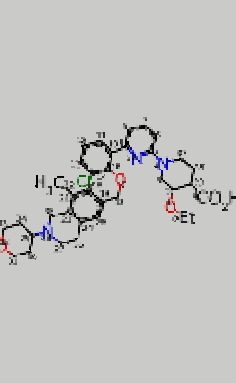 CCO[C@H]1CN(c2cccc(-c3cccc(Cl)c3OCc3cc(C)c4c(c3)CCN(C3CCOCC3)C4)n2)CC[C@H]1C(=O)O